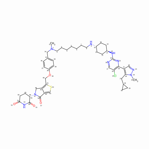 CN(CCCCCCCN[C@H]1CC[C@H](Nc2ncc(Cl)c(-c3cnn(C)c3CC3CC3)n2)CC1)Cc1ccc(OCc2scc3c2CN([C@H]2CCC(=O)NC2=O)C3=O)cc1